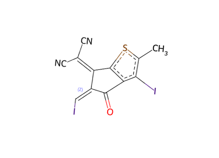 Cc1sc2c(c1I)C(=O)/C(=C\I)C2=C(C#N)C#N